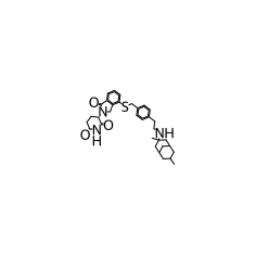 CC1CC2CC(C1)CC(C)(NCCc1ccc(CSc3cccc4c3CN(C3CCC(=O)NC3=O)C4=O)cc1)C2